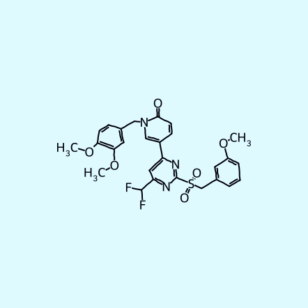 COc1cccc(CS(=O)(=O)c2nc(-c3ccc(=O)n(Cc4ccc(OC)c(OC)c4)c3)cc(C(F)F)n2)c1